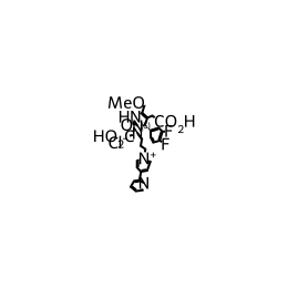 COCC1=C(CC(=O)O)[C@H](c2ccc(F)c(F)c2)N(N(CCC[n+]2ccc(-c3ccccn3)cc2)C(=O)O)C(=O)N1.[Cl-]